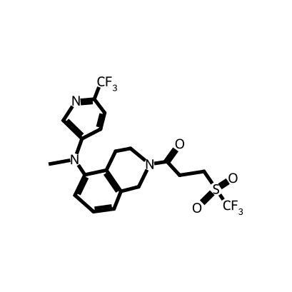 CN(c1ccc(C(F)(F)F)nc1)c1cccc2c1CCN(C(=O)CCS(=O)(=O)C(F)(F)F)C2